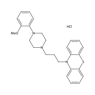 COc1ccccc1N1CCN(CCCN2c3ccccc3Sc3ccccc32)CC1.Cl